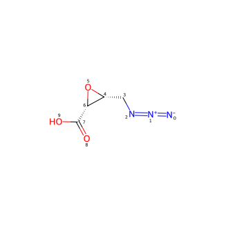 [N-]=[N+]=NC[C@H]1O[C@H]1C(=O)O